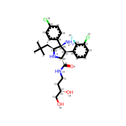 CC(C)(C)C[C@@H]1N[C@@H](C(=O)NCC[C@H](O)CO)[C@H](c2cccc(Cl)c2F)[C@@]1(N)c1ccc(Cl)cc1